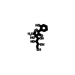 CC(=O)[C@](O)(C(=O)C(=O)c1ccccc1O)[C@@H](O)[C@H](O)[C@H](O)CO